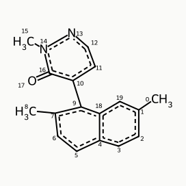 Cc1ccc2ccc(C)c(-c3ccnn(C)c3=O)c2c1